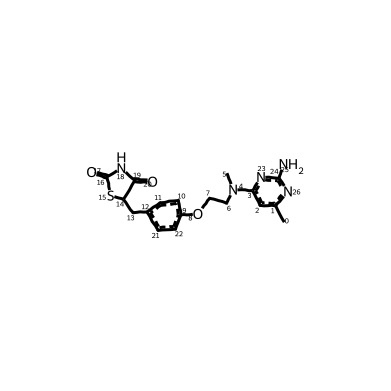 Cc1cc(N(C)CCOc2ccc(CC3SC(=O)NC3=O)cc2)nc(N)n1